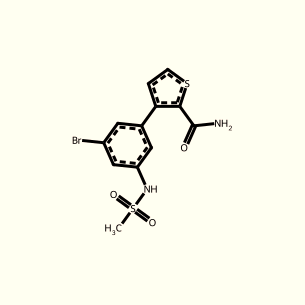 CS(=O)(=O)Nc1cc(Br)cc(-c2ccsc2C(N)=O)c1